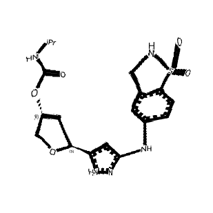 CC(C)NC(=O)O[C@H]1CO[C@H](c2cc(Nc3ccc4c(c3)CNS4(=O)=O)n[nH]2)C1